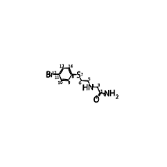 NC(=O)CNCCSc1ccc(Br)cc1